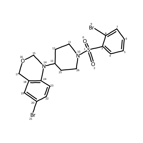 O=S(=O)(c1ccccc1Br)N1CCC(N2COCc3cc(Br)ccc32)CC1